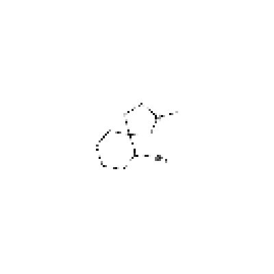 BN1CCCCC12CCN(C)C2